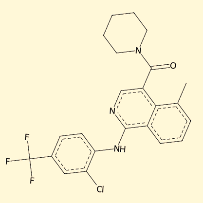 Cc1cccc2c(Nc3ccc(C(F)(F)F)cc3Cl)ncc(C(=O)N3CCCCC3)c12